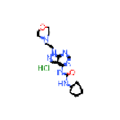 Cl.O=C(Nc1ncnc2c1cnn2CCN1CCOCC1)NC1CCCCC1